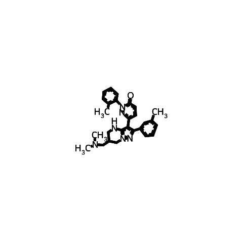 Cc1cccc(-c2nn3c(c2-c2ccc(=O)n(-c4ccccc4C)n2)NCC(CN(C)C)C3)c1